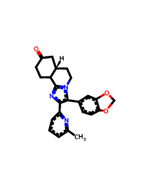 Cc1cccc(-c2nc3n(c2-c2ccc4c(c2)OCO4)CC[C@H]2CC(=O)CCC32)n1